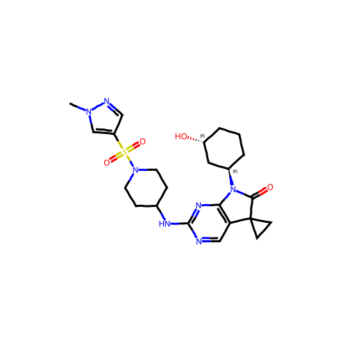 Cn1cc(S(=O)(=O)N2CCC(Nc3ncc4c(n3)N([C@@H]3CCC[C@@H](O)C3)C(=O)C43CC3)CC2)cn1